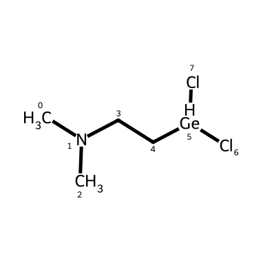 CN(C)C[CH2][GeH]([Cl])[Cl]